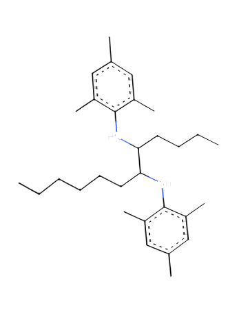 CCCCCCC(Nc1c(C)cc(C)cc1C)C(CCCC)Nc1c(C)cc(C)cc1C